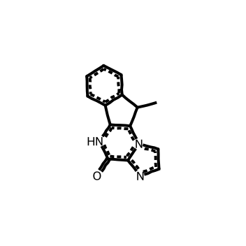 CC1c2ccccc2-c2[nH]c(=O)c3nccn3c21